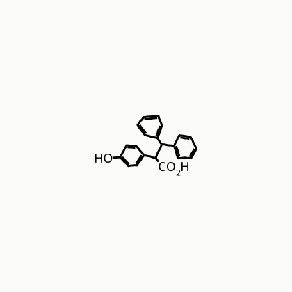 O=C(O)C(c1ccc(O)cc1)C(c1ccccc1)c1ccccc1